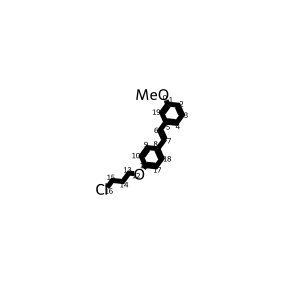 COc1cccc(/C=C/c2ccc(OCCCCl)cc2)c1